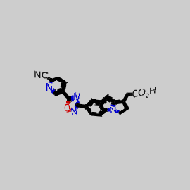 N#Cc1ccc(-c2nc(-c3ccc4c(c3)cc3n4CCC3CC(=O)O)no2)cn1